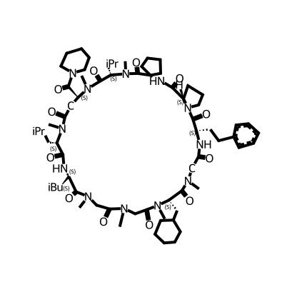 CC[C@H](C)[C@@H]1NC(=O)[C@H](CC(C)C)N(C)C(=O)C[C@@H](C(=O)N2CCCCC2)N(C)C(=O)[C@H](C(C)C)N(C)C(=O)C2(CCCC2)NC(=O)[C@@H]2CCCN2C(=O)[C@H](CCc2ccccc2)NC(=O)CN(C)C(=O)[C@H](CC2CCCCC2)N(C)C(=O)CN(C)C(=O)CN(C)C1=O